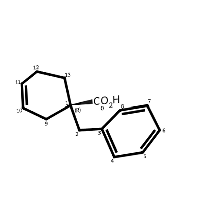 O=C(O)[C@@]1(Cc2ccccc2)CC=CCC1